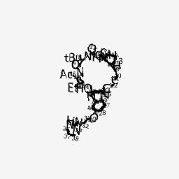 CC[C@@H]1[C@@H]2CN(C(=O)[C@H](C(C)(C)C)NC(=O)O[C@]3(C)CCC[C@H]3CCCCCc3nc4ccc(OCCNc5ncccn5)cc4nc3O2)[C@@H]1C(C)=O